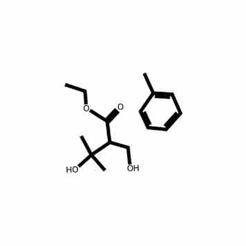 CCOC(=O)C(CO)C(C)(C)O.Cc1ccccc1